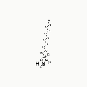 CCCCCCCCCCCC(C)(C)C(C)N